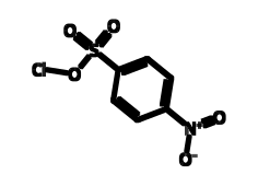 O=[N+]([O-])c1ccc(S(=O)(=O)OCl)cc1